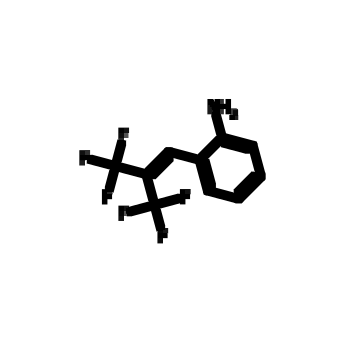 Nc1ccccc1C=C(C(F)(F)F)C(F)(F)F